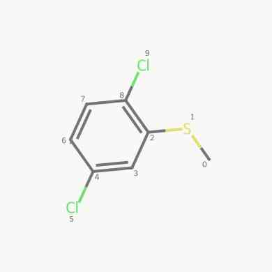 CSc1cc(Cl)[c]cc1Cl